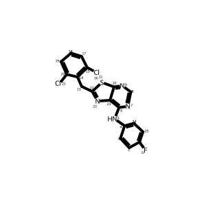 Fc1ccc(Nc2ncnc3sc(Cc4c(Cl)cccc4Cl)nc23)cc1